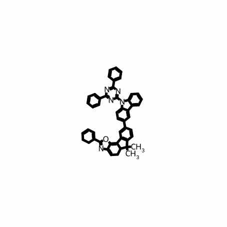 CC1(C)c2ccc(-c3ccc4c(c3)c3ccccc3n4-c3nc(-c4ccccc4)nc(-c4ccccc4)n3)cc2C2=c3oc(C4=CC=CCC4)nc3=CCC21